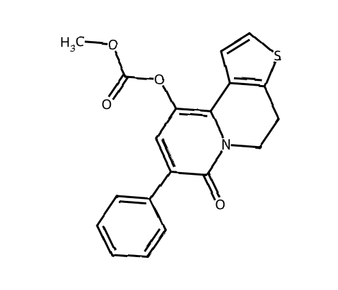 COC(=O)Oc1cc(-c2ccccc2)c(=O)n2c1-c1ccsc1CC2